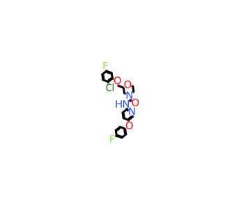 O=C(Nc1ccc(Oc2ccc(F)cc2)cn1)N1CCOC(COc2cc(F)ccc2Cl)C1